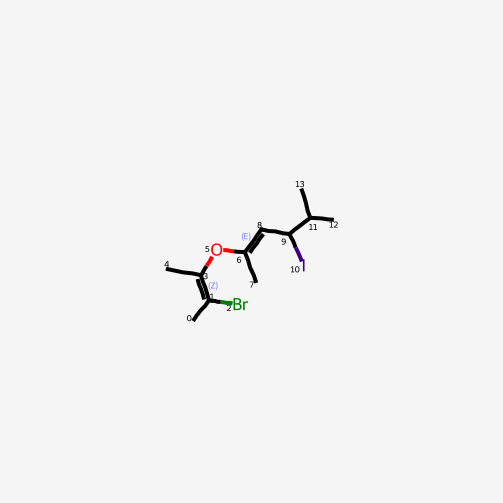 C/C(Br)=C(\C)O/C(C)=C/C(I)C(C)C